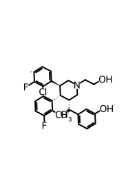 Cc1c(F)cccc1[C@H]1[C@@H](C(=O)c2cccc(O)c2)CN(CCO)C[C@@H]1c1cc[c]c(F)c1Cl